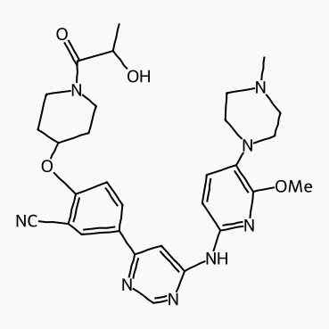 COc1nc(Nc2cc(-c3ccc(OC4CCN(C(=O)C(C)O)CC4)c(C#N)c3)ncn2)ccc1N1CCN(C)CC1